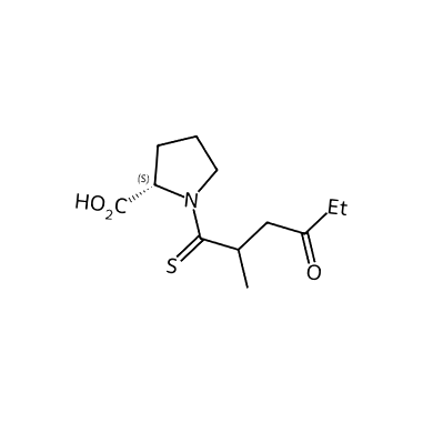 CCC(=O)CC(C)C(=S)N1CCC[C@H]1C(=O)O